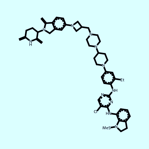 C=C1CCC(N2Cc3cc(N4CC(CN5CCN(C6CCN(c7ccc(Nc8ncc(Cl)c(Nc9cccc%10c9N(SC)CC%10)n8)c(CC)c7)CC6)CC5)C4)ccc3C2=C)C(=C)N1